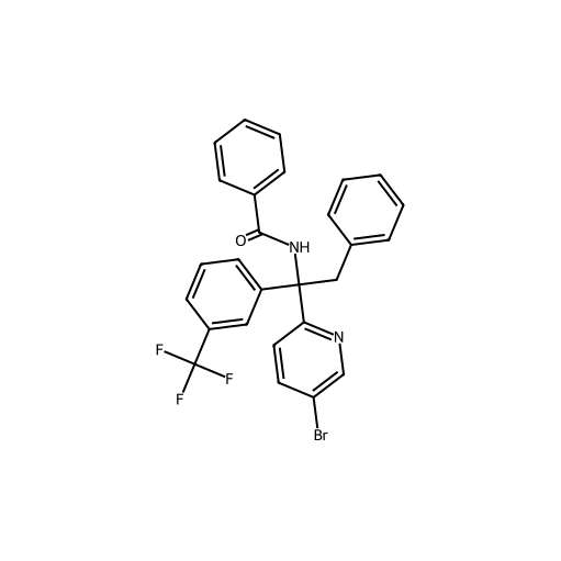 O=C(NC(Cc1ccccc1)(c1cccc(C(F)(F)F)c1)c1ccc(Br)cn1)c1ccccc1